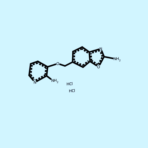 Cl.Cl.Nc1nc2ccc(COc3cccnc3N)cc2o1